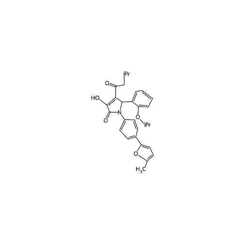 Cc1ccc(-c2ccc(N3C(=O)C(O)=C(C(=O)CC(C)C)C3c3ccccc3OC(C)C)cc2)o1